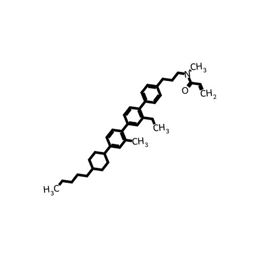 C=CC(=O)N(C)CCCc1ccc(-c2ccc(-c3ccc(C4CCC(CCCCC)CC4)cc3C)cc2CC)cc1